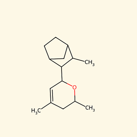 CC1=CC(C2C3CCC(C3)C2C)OC(C)C1